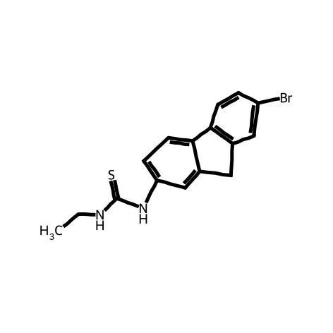 CCNC(=S)Nc1ccc2c(c1)Cc1cc(Br)ccc1-2